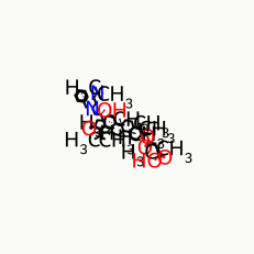 CC(C)C1=C2[C@H]3CC[C@@H]4[C@@]5(C)CC[C@H](OC(=O)CC(C)(C)C(=O)O)C(C)(C)C5CC[C@@]4(C)[C@]3(C)CC[C@@]2([C@H](O)CN(CCN(C)C)Cc2ccccc2)CC1=O